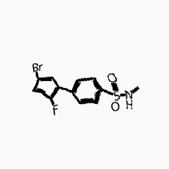 CNS(=O)(=O)c1ccc(-c2cc(Br)ccc2F)cc1